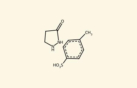 Cc1ccc(S(=O)(=O)O)cc1.O=C1CCNN1